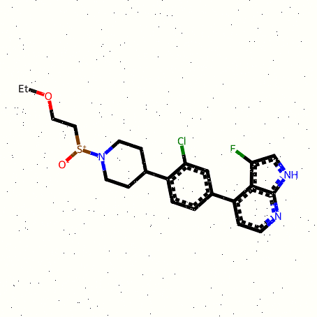 CCOCC[S+]([O-])N1CCC(c2ccc(-c3ccnc4[nH]cc(F)c34)cc2Cl)CC1